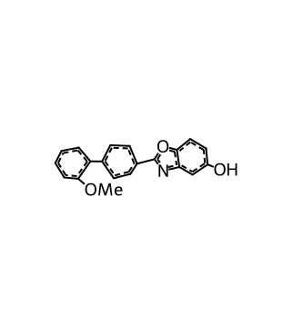 COc1ccccc1-c1ccc(-c2nc3cc(O)ccc3o2)cc1